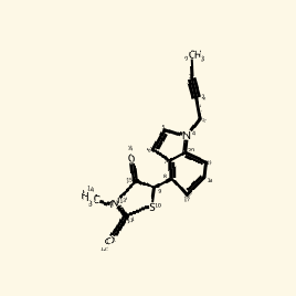 CC#CCn1ccc2c(C3SC(=O)N(C)C3=O)cccc21